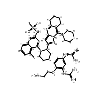 CCCCCCCCCCCCOc1ccc(NC(=N)N)cc1NC(=N)N.Cc1cccc2nc(NS(C)(=O)=O)nc(N3CCCCC3c3cc4nc5c(c(N6CCOCC6)n4n3)CCCC5)c12